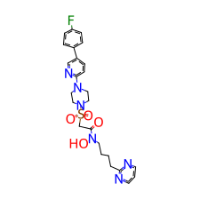 O=C(CS(=O)(=O)N1CCN(c2ccc(-c3ccc(F)cc3)cn2)CC1)N(O)CCCCc1ncccn1